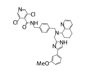 COc1cccc(-c2c[nH]c(CN(Cc3ccc(CNC(=O)c4c(Cl)cncc4Cl)cc3)C3CCCc4cccnc43)n2)c1